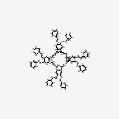 c1ccc(CSc2cc3c(cc2SCc2ccccc2)-c2nc-3nc3[nH]c(nc4nc(nc5[nH]c(n2)c2cc(SCc6ccccc6)c(SCc6ccccc6)cc52)-c2cc(SCc5ccccc5)c(SCc5ccccc5)cc2-4)c2cc(SCc4ccccc4)c(SCc4ccccc4)cc32)cc1